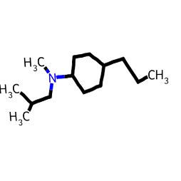 CCCC1CCC(N(C)CC(C)C)CC1